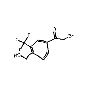 O=C(CBr)c1ccc(CO)c(C(F)(F)F)c1